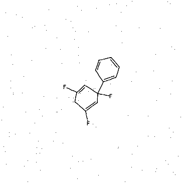 FC1=CC(F)(c2ccccc2)C=C(F)[CH]1